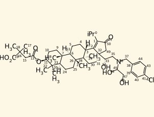 CC(C)C1=C2[C@H]3CC[C@@H]4[C@@]5(C)CC[C@H](OC(=O)CC(C)(C)C(=O)O)C(C)(C)[C@@H]5CC[C@@]4(C)[C@]3(C)CC[C@@]2([C@@H](O)CN(Cc2ccc(Cl)cc2)C(O)CO)CC1=O